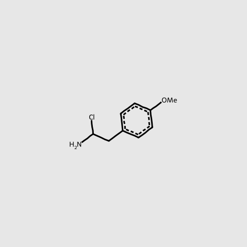 COc1ccc(CC(N)Cl)cc1